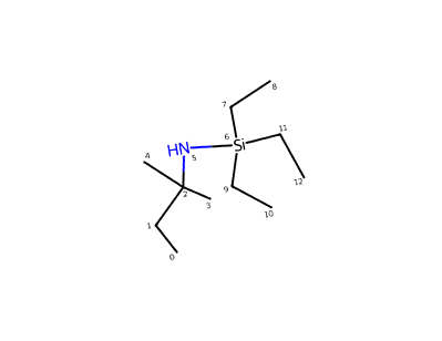 CCC(C)(C)N[Si](CC)(CC)CC